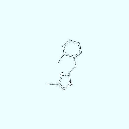 Cc1cnc(Cc2ccccc2C)o1